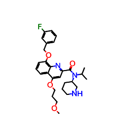 COCCCOc1cc(C(=O)N(C(C)C)[C@@H]2CCCNC2)nc2c(OCc3cccc(F)c3)cccc12